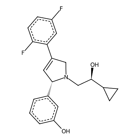 Oc1cccc([C@@H]2C=C(c3cc(F)ccc3F)CN2C[C@@H](O)C2CC2)c1